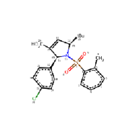 Cc1ccccc1S(=O)(=O)N1[C@@H](c2ccc(Cl)cc2)C(C(=O)O)=C[C@H]1C(C)(C)C